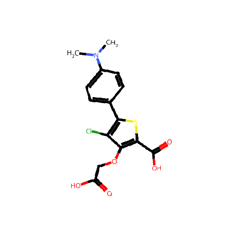 CN(C)c1ccc(-c2sc(C(=O)O)c(OCC(=O)O)c2Cl)cc1